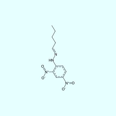 CCCCC=NNc1ccc([N+](=O)[O-])cc1[N+](=O)[O-]